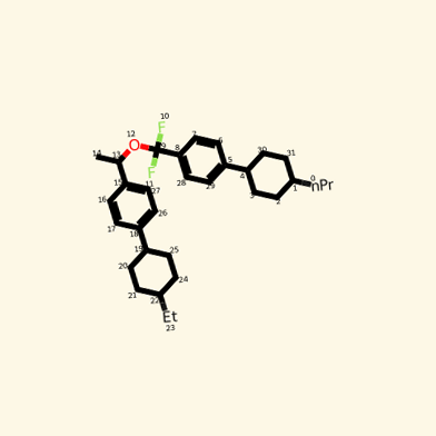 CCCC1CCC(c2ccc(C(F)(F)OC(C)c3ccc(C4CCC(CC)CC4)cc3)cc2)CC1